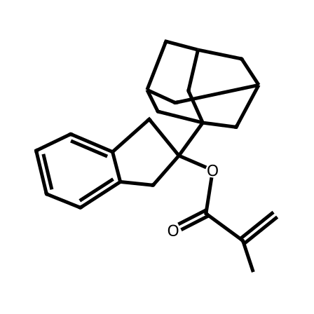 C=C(C)C(=O)OC1(C23CC4CC(CC(C4)C2)C3)Cc2ccccc2C1